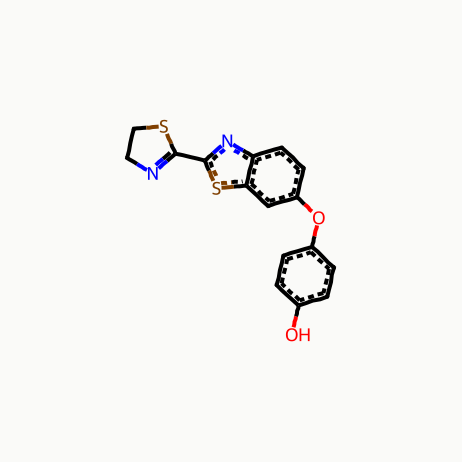 Oc1ccc(Oc2ccc3nc(C4=NCCS4)sc3c2)cc1